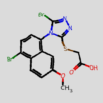 COc1ccc2c(Br)ccc(-n3c(Br)nnc3SCC(=O)O)c2c1